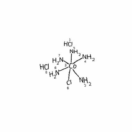 Cl.Cl.[NH2][Co]([NH2])([NH2])([NH2])([NH2])[Cl]